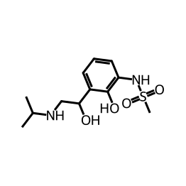 CC(C)NCC(O)c1cccc(NS(C)(=O)=O)c1O